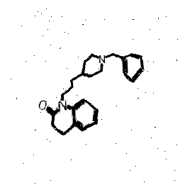 O=C1CCc2ccccc2N1CCCC1CCN(Cc2ccccc2)CC1